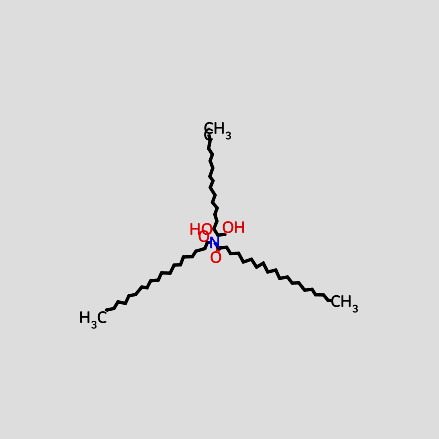 CCCCCCCCCCCCCCCCCCCC(=O)N(C(=O)CCCCCCCCCCCCCCCCCCC)C(CO)C(O)CCCCCCCCCCCCCCC